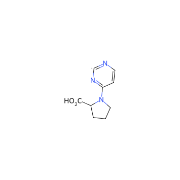 O=C(O)C1CCCN1c1ccn[c]n1